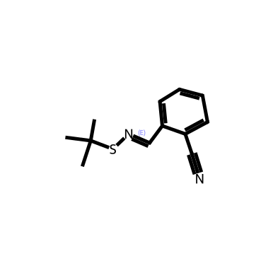 CC(C)(C)S/N=C/c1ccccc1C#N